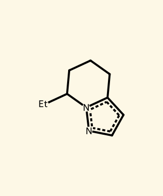 CCC1CCCc2ccnn21